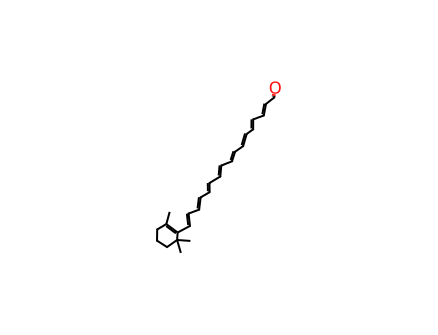 CC1=C(/C=C/C=C/C=C/C=C/C=C/C=C/C=C/C=C/C=O)C(C)(C)CCC1